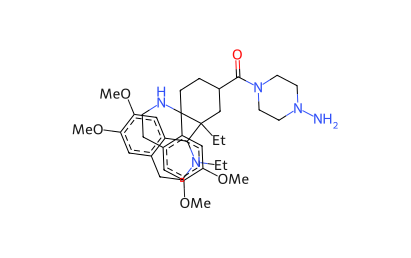 CCN1CCc2cc(OC)c(OC)cc2C1C1(CC)CC(C(=O)N2CCN(N)CC2)CCC12NCCc1cc(OC)c(OC)cc12